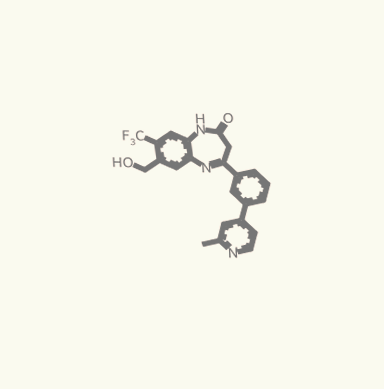 Cc1cc(-c2cccc(C3=Nc4cc(CO)c(C(F)(F)F)cc4NC(=O)C3)c2)ccn1